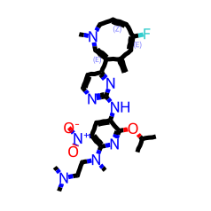 C=C1/C=C(F)\C=C/CN(C)/C=C\1c1ccnc(Nc2cc([N+](=O)[O-])c(N(C)CCN(C)C)nc2OC(C)C)n1